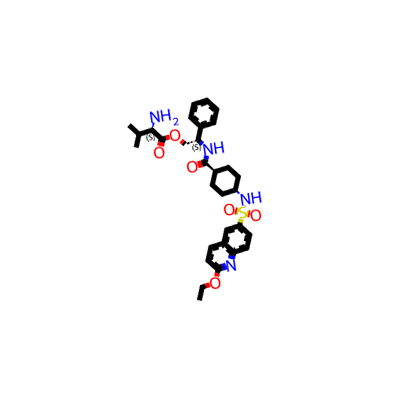 CCOc1ccc2cc(S(=O)(=O)N[C@H]3CC[C@H](C(=O)N[C@H](COC(=O)[C@@H](N)C(C)C)c4ccccc4)CC3)ccc2n1